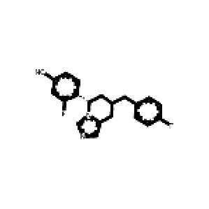 N#Cc1ccc([C@@H]2CC(Cc3ccc(F)cc3)Cc3cncn32)c(F)c1